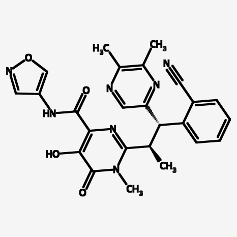 Cc1ncc([C@H](c2ccccc2C#N)[C@@H](C)c2nc(C(=O)Nc3cnoc3)c(O)c(=O)n2C)nc1C